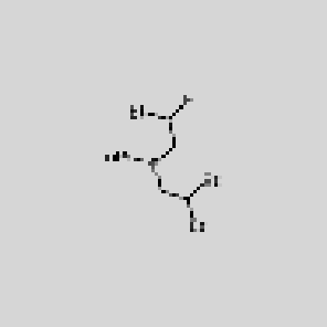 CCCP(CC(CC)CC)CC(CC)CC